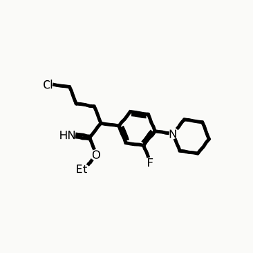 CCOC(=N)C(CCCCl)c1ccc(N2CCCCC2)c(F)c1